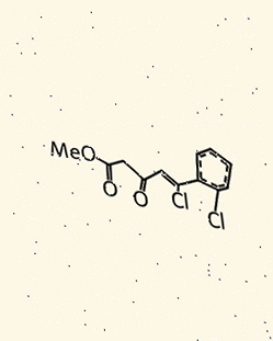 COC(=O)CC(=O)C=C(Cl)c1ccccc1Cl